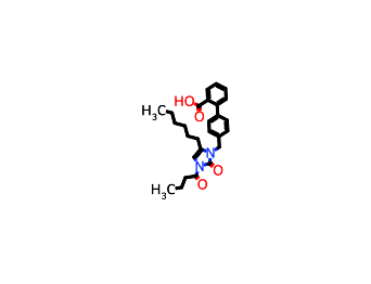 CCCCCCc1cn(C(=O)CCC)c(=O)n1Cc1ccc(-c2ccccc2C(=O)O)cc1